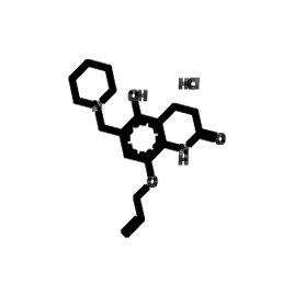 C=CCOc1cc(CN2CCCCC2)c(O)c2c1NC(=O)CC2.Cl